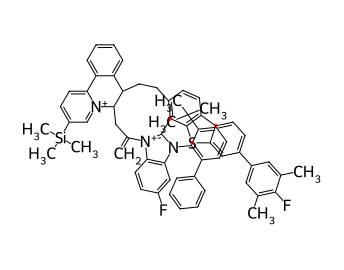 C=C1CC2C(CCc3ccc4c(sc5cc(-c6cc(C)c(F)c(C)c6)ccc54)c3-c3n(-c4c(-c5ccccc5)cccc4C(C)(C)C)c4cc(F)ccc4[n+]31)c1ccccc1-c1ccc([Si](C)(C)C)c[n+]12